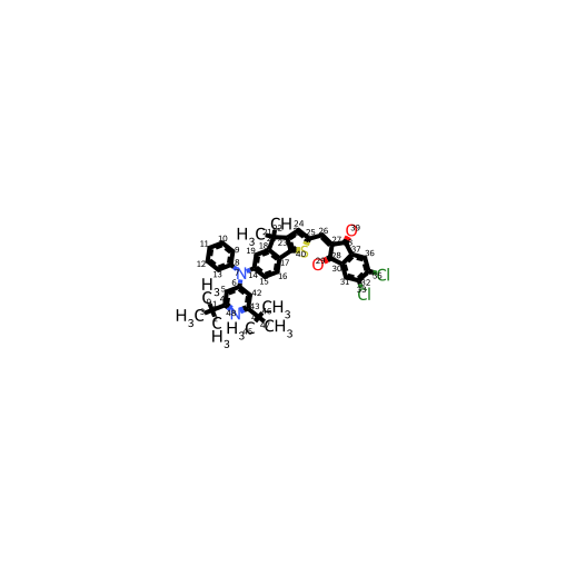 CC(C)(C)c1cc(N(c2ccccc2)c2ccc3c(c2)C(C)(C)c2cc(C=C4C(=O)c5cc(Cl)c(Cl)cc5C4=O)sc2-3)cc(C(C)(C)C)n1